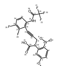 COc1ccc([N+](=O)[O-])c(N(CC#Cc2c(NC(=O)C(F)(F)F)ccc(F)c2F)C(=O)O)n1